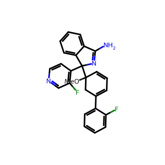 COC1(C2(c3ccncc3F)N=C(N)c3ccccc32)C=CC=C(c2ccccc2F)C1